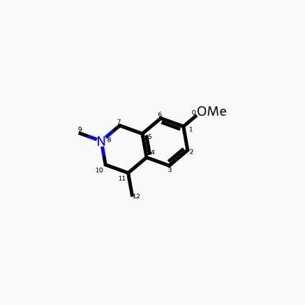 COc1ccc2c(c1)CN(C)CC2C